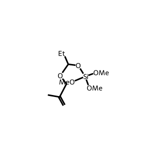 C=C(C)COC(CC)O[Si](OC)(OC)OC